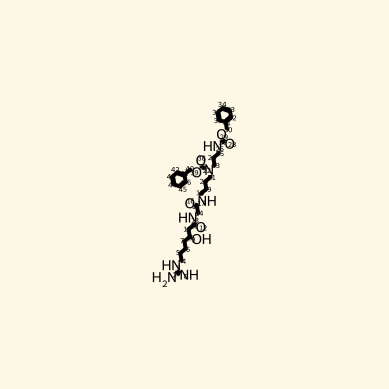 N=C(N)NCCCCC(O)CC(=O)NCC(=O)NCCCCN(CCCNC(=O)OCc1ccccc1)C(=O)OCc1ccccc1